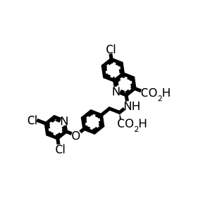 O=C(O)c1cc2cc(Cl)ccc2nc1N[C@@H](Cc1ccc(Oc2ncc(Cl)cc2Cl)cc1)C(=O)O